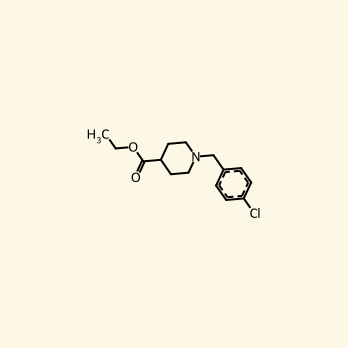 CCOC(=O)C1CCN(Cc2ccc(Cl)cc2)CC1